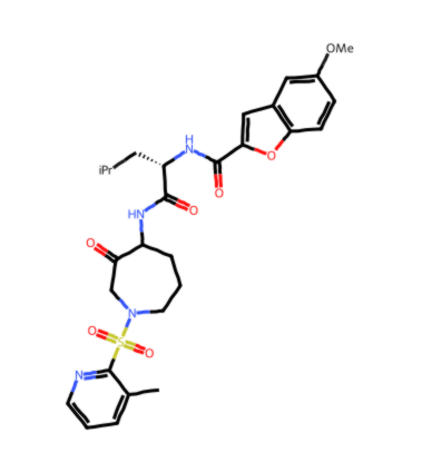 COc1ccc2oc(C(=O)N[C@@H](CC(C)C)C(=O)NC3CCCN(S(=O)(=O)c4ncccc4C)CC3=O)cc2c1